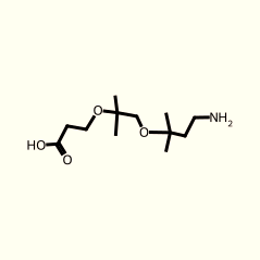 CC(C)(CCN)OCC(C)(C)OCCC(=O)O